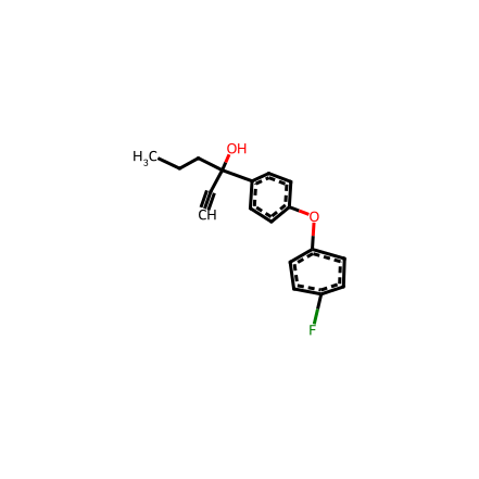 C#CC(O)(CCC)c1ccc(Oc2ccc(F)cc2)cc1